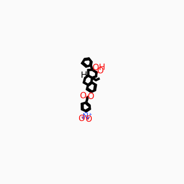 CCC12CC(=O)C(O)(c3ccccc3)C[C@H]1CCc1cc(OC(=O)c3ccc([N+](=O)[O-])cc3)ccc12